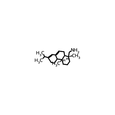 CC(C)C1=CC2=CCC3[C@](C)(CN)CCC[C@]3(C)C2CC1